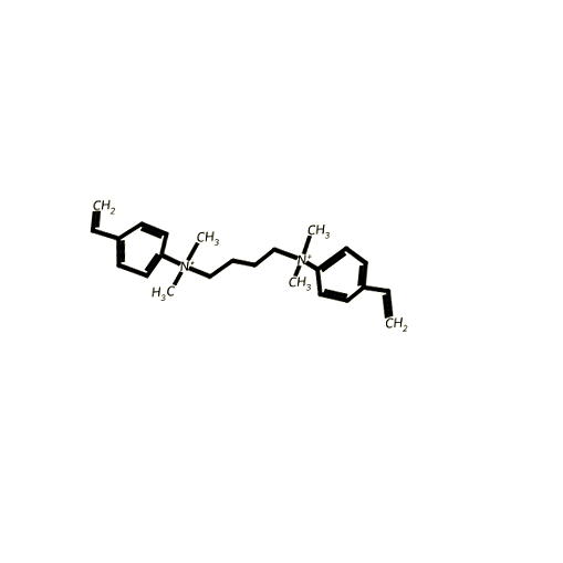 C=Cc1ccc([N+](C)(C)CCCC[N+](C)(C)c2ccc(C=C)cc2)cc1